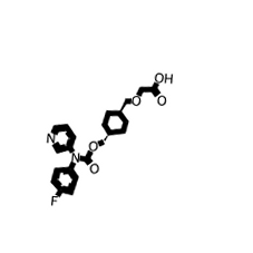 O=C(O)COC[C@H]1CC[C@H](COC(=O)N(c2ccc(F)cc2)c2cccnc2)CC1